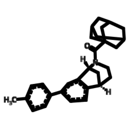 Cc1ccc(-c2ccc3c(c2)[C@H]2C[C@H]3CCN2C(=O)C23CC4CC(CC(C4)C2)C3)cc1